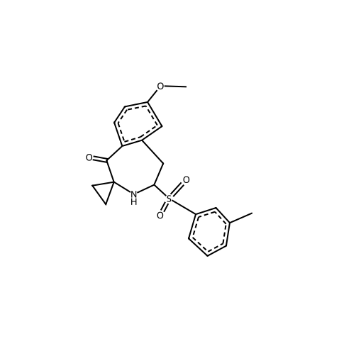 COc1ccc2c(c1)CC(S(=O)(=O)c1cccc(C)c1)NC1(CC1)C2=O